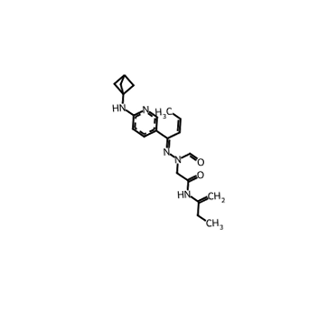 C=C(CC)NC(=O)CN(C=O)/N=C(\C=C/C)c1ccc(NC23CC(C2)C3)nc1